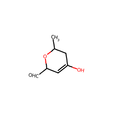 CC1CC(O)=CC(C=O)O1